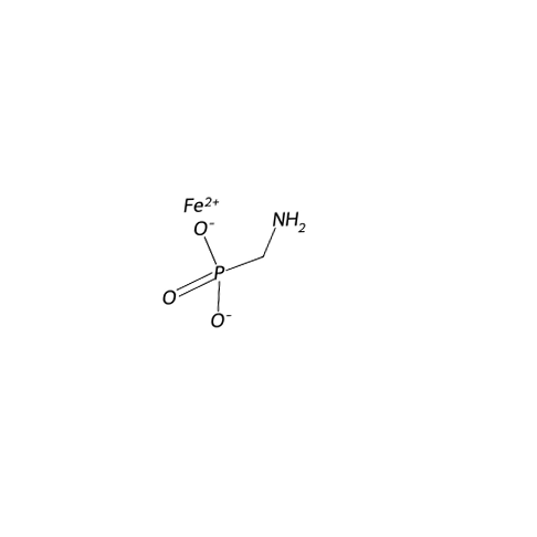 NCP(=O)([O-])[O-].[Fe+2]